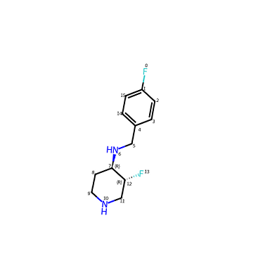 Fc1ccc(CN[C@@H]2CCNC[C@H]2F)cc1